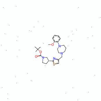 COc1ccccc1N1CCCN(Cc2csc(C3CCN(C(=O)OC(C)(C)C)C3)n2)CC1